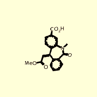 COC(=O)/C=C1\c2ccccc2C(=O)N(C)c2cc(C(=O)O)ccc21